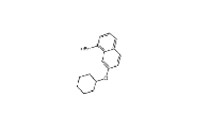 [CH2]CCc1cccc2ccc(OC3CCCCC3)cc12